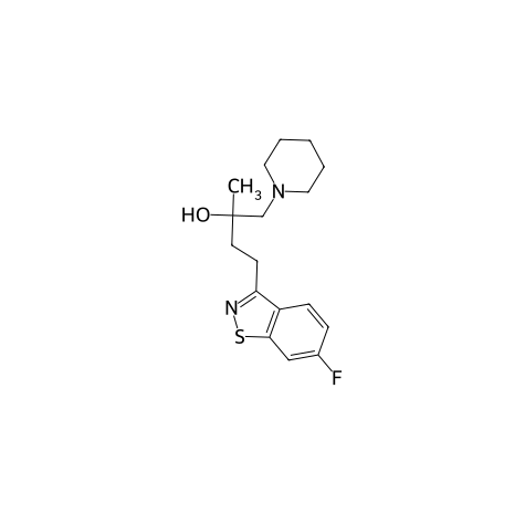 CC(O)(CCc1nsc2cc(F)ccc12)CN1CCCCC1